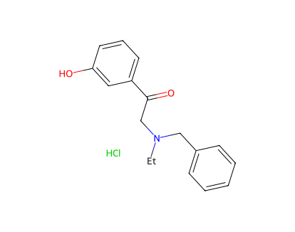 CCN(CC(=O)c1cccc(O)c1)Cc1ccccc1.Cl